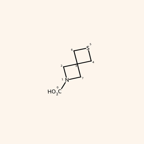 O=C(O)N1CC2(CSC2)C1